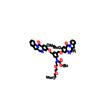 COCCOCCOCCN(C(=O)OC(C)(C)C)c1cc(COc2cc3c(cc2OC)C(=O)N2c4ccccc4CC2C=N3)cc(COc2cc3c(cc2OC)C(=O)N2c4ccccc4C[C@H]2C=N3)c1